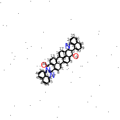 O=C1c2ccc3c4ccc5c6c(ccc(c7ccc(c2c73)C2=Nc3cccc7cccc(c37)C12)c46)c(=O)n1c2cccc3cccc(nc51)c32